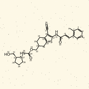 Cc1ccncc1C=CC(=O)Nc1sc2c(c1C#N)CCC(COC(=O)NN1CCC[C@H]1CO)C2